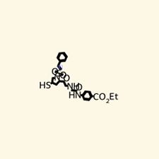 CCOC(=O)c1ccc(NC(=O)CNCC(=O)C2CC(S)CN2S(=O)(=O)/C=C/c2ccccc2)cc1